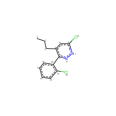 CCCc1cc(Cl)nnc1-c1ccccc1Cl